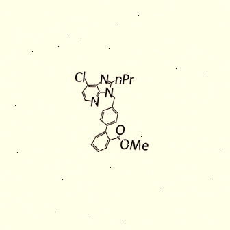 CCCc1nc2c(Cl)ccnc2n1Cc1ccc(-c2ccccc2C(=O)OC)cc1